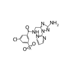 CS(=O)(=O)c1cc(Cl)cc(C(=O)NCc2nc(N)nn2-c2ncccn2)c1